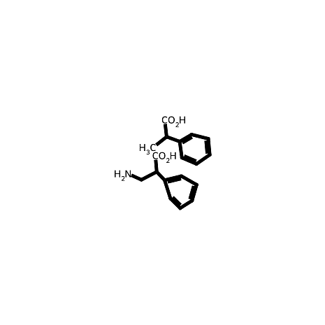 CC(C(=O)O)c1ccccc1.NCC(C(=O)O)c1ccccc1